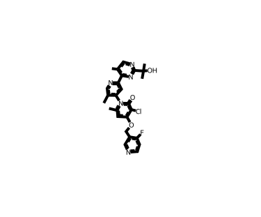 Cc1cnc(-c2nc(C(C)(C)O)ncc2C)cc1-n1c(C)cc(OCc2cnccc2F)c(Cl)c1=O